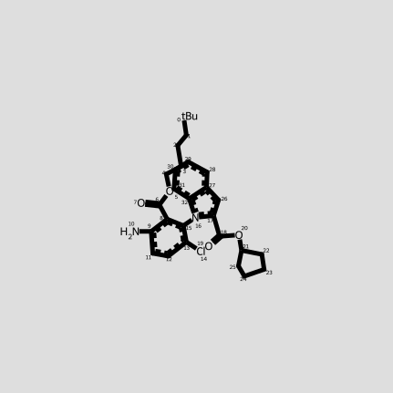 CC(C)(C)CCCCOC(=O)c1c(N)ccc(Cl)c1-n1c(C(=O)OC2CCCC2)cc2ccccc21